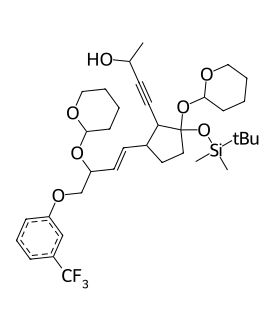 CC(O)C#CC1C(C=CC(COc2cccc(C(F)(F)F)c2)OC2CCCCO2)CCC1(OC1CCCCO1)O[Si](C)(C)C(C)(C)C